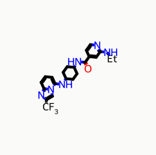 CCNc1cc(C(=O)NC2CCC(Nc3cccc4nc(C(F)(F)F)cn34)CC2)ccn1